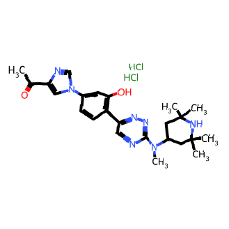 CC(=O)c1cn(-c2ccc(-c3cnc(N(C)C4CC(C)(C)NC(C)(C)C4)nn3)c(O)c2)cn1.Cl.Cl